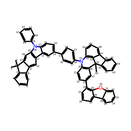 CC1(C)c2ccccc2-c2cc3c4cc(-c5ccc(N6c7ccc(-c8cccc9c8oc8ccccc89)cc7C7(C)c8ccccc8-c8cccc6c87)cc5)ccc4n(-c4ccccc4)c3cc21